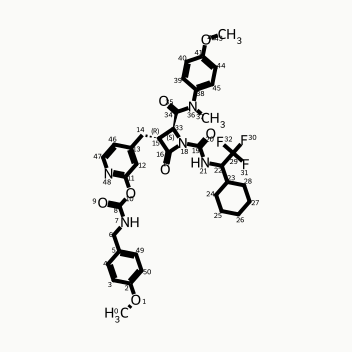 COc1ccc(CNC(=O)Oc2cc(C[C@H]3C(=O)N(C(=O)NC(C4CCCCC4)C(F)(F)F)[C@@H]3C(=O)N(C)c3ccc(OC)cc3)ccn2)cc1